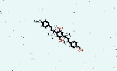 COc1ccc(CCC(C)(C)c2cc(O)c(C(C)(C)CCc3ccc(CO)cc3)cc2O)cc1